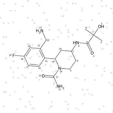 CC(C)(O)C(=O)NC1CCN(C(N)=O)C(c2ccc(F)cc2CN)C1